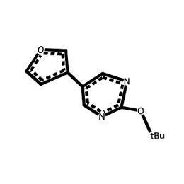 CC(C)(C)Oc1ncc(-c2ccoc2)cn1